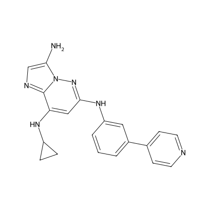 Nc1cnc2c(NC3CC3)cc(Nc3cccc(-c4ccncc4)c3)nn12